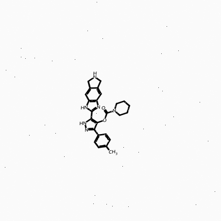 Cc1ccc(-c2n[nH]c(-c3nc4cc5c(cc4[nH]3)CNC5)c2OC(=O)N2CCCCC2)cc1